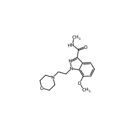 CNC(=O)c1nn(CCN2CCOCC2)c2c(OC)cccc12